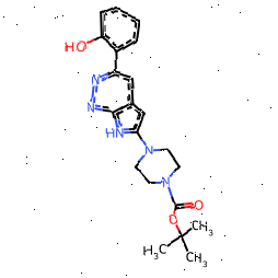 CC(C)(C)OC(=O)N1CCN(c2cc3cc(-c4ccccc4O)nnc3[nH]2)CC1